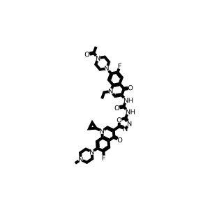 CCn1cc(NC(=O)Nc2nnc(-c3cn(C4CC4)c4cc(N5CCN(C)CC5)c(F)cc4c3=O)o2)c(=O)c2cc(F)c(N3CCN(C(C)=O)CC3)cc21